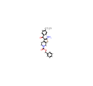 CCOC(=O)c1ccc(C(=O)c2c(N)sc3c2CCN(C(=O)OCc2ccccc2)C3)cc1